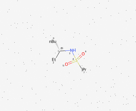 CCCC[C@@H](CC)NS(=O)(=O)C(C)C